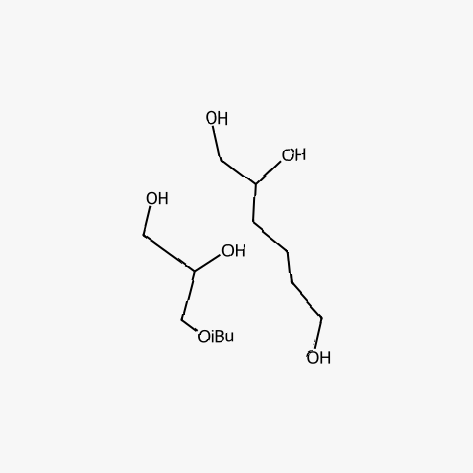 CC(C)COCC(O)CO.OCCCCC(O)CO